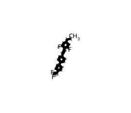 CCCc1cc(F)c(C#Cc2ccc(-c3ccc(C=C(F)F)cc3)cc2)c(F)c1